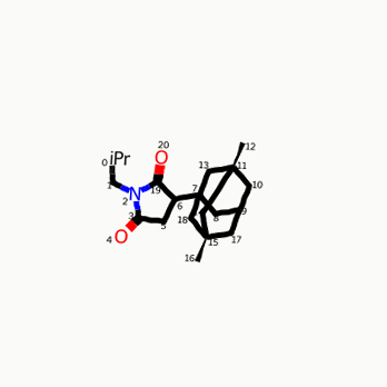 CC(C)CN1C(=O)CC(C23CC4C[C@@](C)(C2)C[C@](C)(C4)C3)C1=O